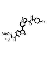 CCC1CCC(NC(=O)c2cnn3ccc(-c4c[nH]c5nc(N[C@@H](C)COC)ncc45)cc23)CC1